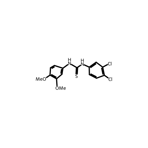 COc1ccc(NC(=S)Nc2ccc(Cl)c(Cl)c2)cc1OC